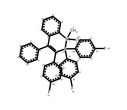 C[N+]1(C)c2ccccc2C(c2ccccc2)=C(c2ccc(F)cc2)[B-]1(c1ccc(F)cc1)c1ccc(F)cc1